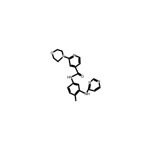 Cc1ccc(NC(=O)c2ccnc(N3CCOCC3)c2)cc1Nc1ccncn1